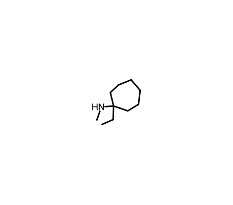 CCC1(NC)CCCCCC1